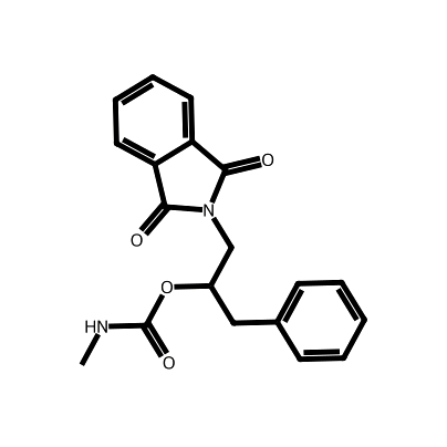 CNC(=O)OC(Cc1ccccc1)CN1C(=O)c2ccccc2C1=O